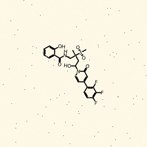 CC(CNC(=O)c1ccccc1O)(CC(O)n1ccc(-c2ccc(F)c(F)c2F)cc1=O)S(C)(=O)=O